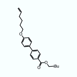 C=CCCCCOc1ccc(-c2ccc(C(=O)OCC(C)CC)cc2)cc1